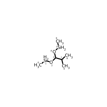 C[SiH2]OC(O[SiH2]C)[C](C)C